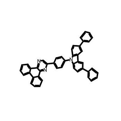 c1ccc(-c2ccc3c(c2)c2cc(-c4ccccc4)ccc2n3-c2ccc(-c3cnc4c5ccccc5c5ccccc5c4n3)cc2)cc1